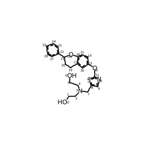 OCCN(CCO)Cc1cnc(Oc2ccc3c(c2)CCC(c2ccccc2)O3)s1